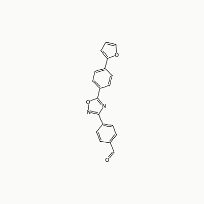 O=Cc1ccc(-c2noc(-c3ccc(-c4ccco4)cc3)n2)cc1